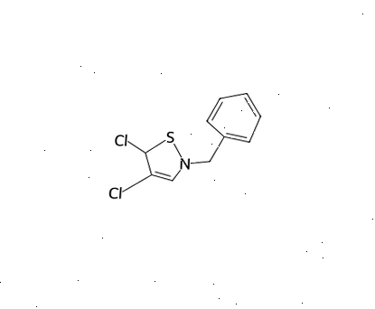 ClC1=CN(Cc2ccccc2)SC1Cl